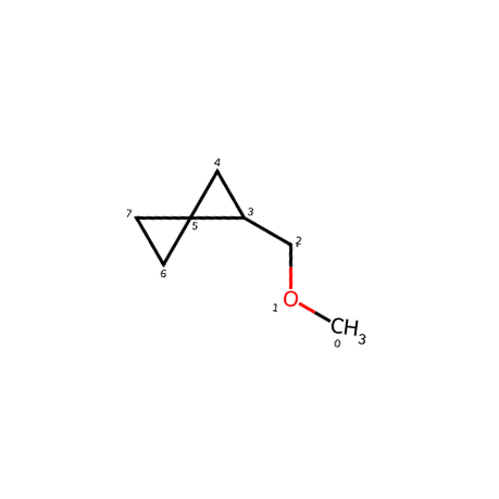 CO[CH]C1CC12CC2